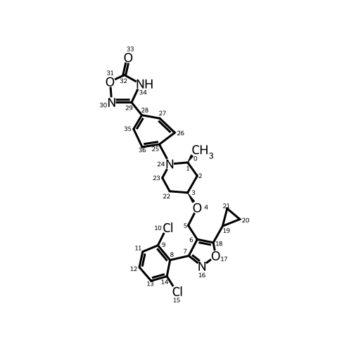 C[C@H]1C[C@@H](OCc2c(-c3c(Cl)cccc3Cl)noc2C2CC2)CCN1c1ccc(-c2noc(=O)[nH]2)cc1